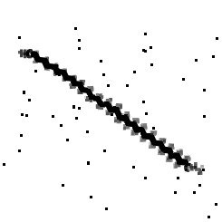 [CH]=CCCCCCCCCCCCCCCCCCCCCCCCCCCCCCCCCCC[CH2]